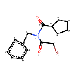 O=C(CBr)N(Cc1ccccc1)C(=O)C1CCCC1